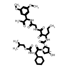 CCCC(NC(=O)[C@@H]1C[C@@H](O)CN1C(=O)[C@@H](NC(=O)OCC(C)C)C1CCCCC1)C(=O)C(=O)NCC(=O)NC(C(N)=O)c1cc(OC)cc(OC)c1